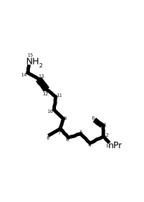 C=CC(CCC)CCCC(C)CCCC#CCN